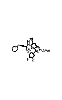 COc1nc(-c2ccc(F)c(Cl)c2)c2c(N)c(NC(=O)C#CCN3CCCCC3)c(C3CC3)cc2n1